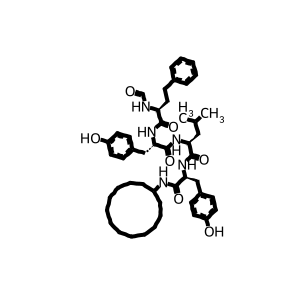 CC(C)C[C@H](NC(=O)[C@H](Cc1ccc(O)cc1)NC(=O)[C@H](CCc1ccccc1)NC=O)C(=O)N[C@@H](Cc1ccc(O)cc1)C(=O)NC1CCCCCCCCCCCC1